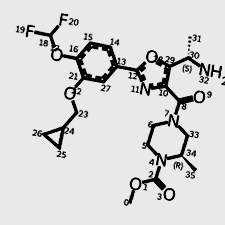 COC(=O)N1CCN(C(=O)c2nc(-c3ccc(OC(F)F)c(OCC4CC4)c3)oc2[C@H](C)N)C[C@H]1C